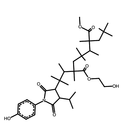 COC(=O)C(C)(CC(C)(C)C)C(C)C(C)(C)CC(C)(C(=O)OCCO)C(C)C(C)(C)C1C(=O)N(c2ccc(O)cc2)C(=O)C1C(C)C